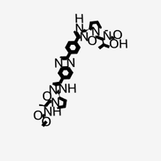 COC(=O)N[C@@H](C)C(=O)N1CCC[C@H]1c1ncc(-c2ccc3nc(-c4ccc(-c5c[nH]c([C@@H]6CCCN6C(=O)[C@H](C(C)C)N(C)C(=O)O)n5)cc4)cnc3c2)[nH]1